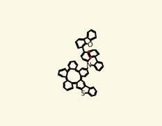 c1ccc(-c2ccccc2N(c2ccc(-c3cccc4c3oc3ccccc34)cc2)c2ccc3c(c2)c2ccccc2c2ccccc2c2ccccc2c2cc4sc5ccccc5c4cc32)cc1